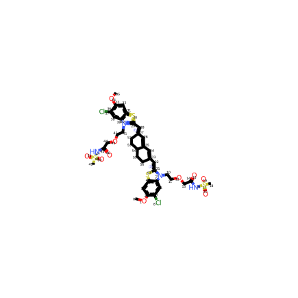 COc1cc2c(cc1Cl)N(CCOCC(=O)NS(C)(=O)=O)/C(=C/C1=CC3=C/C(=C/c4sc5cc(OC)c(Cl)cc5[n+]4CCOCC(=O)NS(C)(=O)=O)CCC3CC1)S2